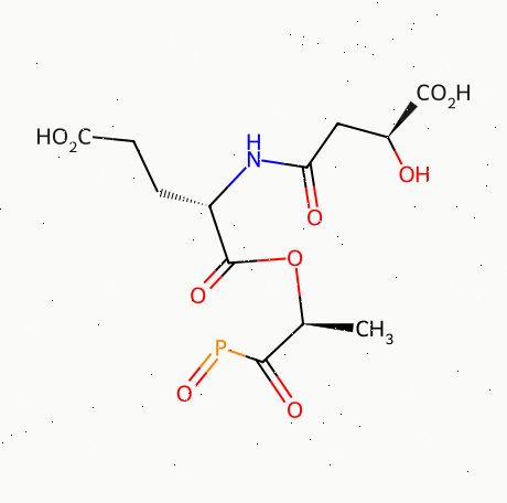 C[C@H](OC(=O)[C@H](CCC(=O)O)NC(=O)C[C@H](O)C(=O)O)C(=O)P=O